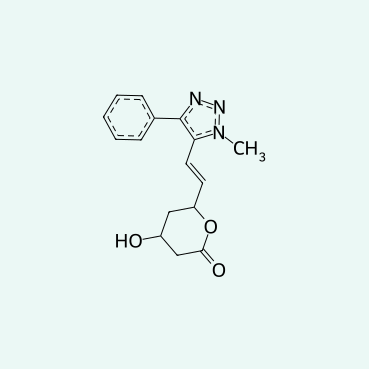 Cn1nnc(-c2ccccc2)c1C=CC1CC(O)CC(=O)O1